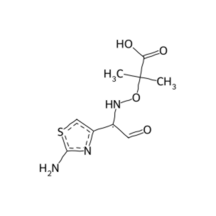 CC(C)(ON[C](C=O)c1csc(N)n1)C(=O)O